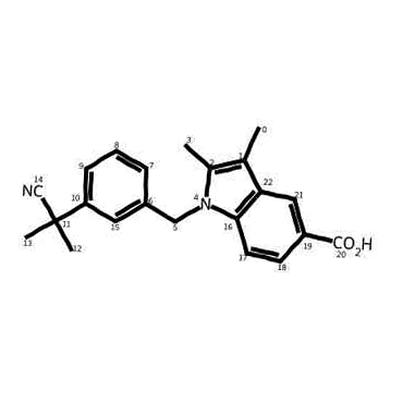 Cc1c(C)n(Cc2cccc(C(C)(C)C#N)c2)c2ccc(C(=O)O)cc12